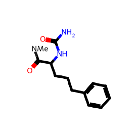 CNC(=O)C(CCCc1ccccc1)NC(N)=O